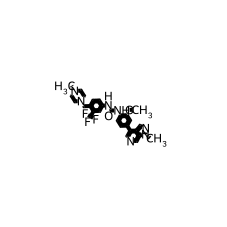 COc1cc(-c2cncc3c2cnn3C)ccc1NC(=O)Nc1ccc(CN2CCN(C)CC2)c(C(F)(F)F)c1